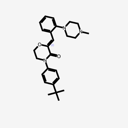 CN1CCN(c2ccccc2/C=C2\OCCN(c3ccc(C(C)(C)C)cc3)C2=O)CC1